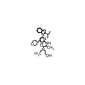 CCN(CCO)C(=O)[C@H](C)Nc1nc(N2CCOCC2)cc(-n2c(C(F)F)nc3ccccc32)n1